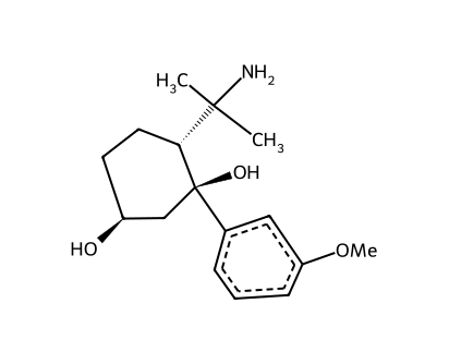 COc1cccc([C@]2(O)C[C@@H](O)CC[C@@H]2C(C)(C)N)c1